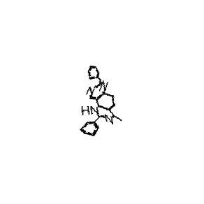 CC1N=C(c2ccccc2)NC2=C1CCc1nc(-c3ccccc3)ncc12